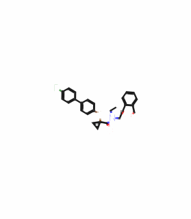 O=C(N1CC[C@@]2(C1)OCc1ccccc12)C1(Sc2ccc(-c3ccc(F)cc3)cc2)CC1